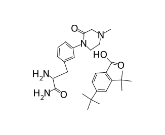 CC(C)(C)c1ccc(C(=O)O)c(C(C)(C)C)c1.CN1CCN(c2cccc(CC(N)C(N)=O)c2)C(=O)C1